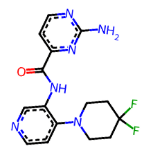 Nc1nccc(C(=O)Nc2cnccc2N2CCC(F)(F)CC2)n1